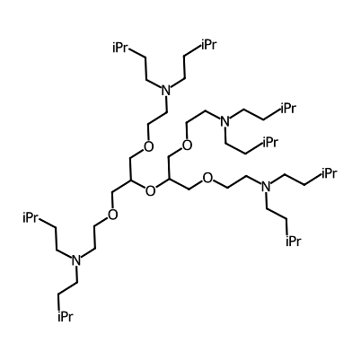 CC(C)CCN(CCOCC(COCCN(CCC(C)C)CCC(C)C)OC(COCCN(CCC(C)C)CCC(C)C)COCCN(CCC(C)C)CCC(C)C)CCC(C)C